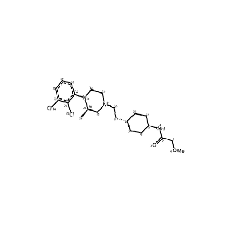 COCC(=O)N[C@H]1CC[C@H](CCN2CCN(c3cccc(Cl)c3Cl)[C@H](C)C2)CC1